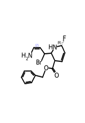 N/C=C\C(Br)C1N[C@H](F)C=CC1C(=O)OCc1ccccc1